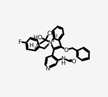 CC(C)(O)[N+]1(Cc2ccc(F)cc2)C(c2ccncc2NC=O)=C(OCc2ccccc2)c2ccccc21